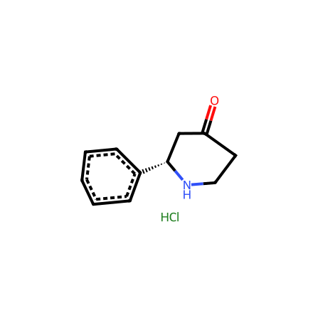 Cl.O=C1CCN[C@H](c2ccccc2)C1